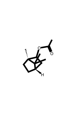 CC(=O)OC1C[C@@H]2CC[C@]1(C)C2(C)C